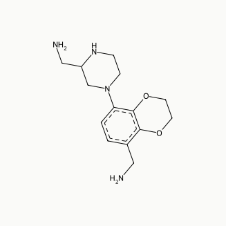 NCc1ccc(N2CCNC(CN)C2)c2c1OCCO2